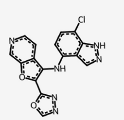 Clc1ccc(Nc2c(-c3nnco3)oc3cnccc23)c2cn[nH]c12